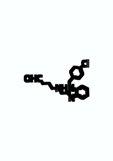 O=CCCCNCc1nc2ccccc2n1CC1=CC=C(Cl)CC1